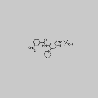 CC(C)(O)Cn1cc2cc(NC(=O)c3cccc([N+](=O)[O-])c3)c(N3CCSCC3)cc2n1